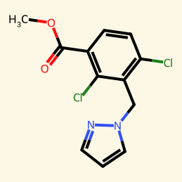 COC(=O)c1ccc(Cl)c(Cn2cccn2)c1Cl